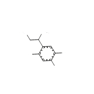 CCCCCCC(CNC(C)=O)c1cc(O)c(C)cc1O